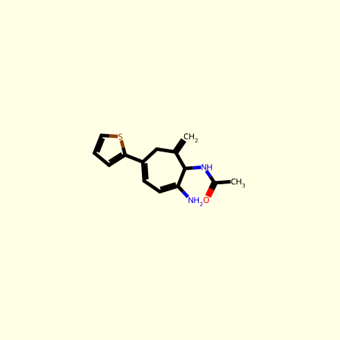 C=C1CC(c2cccs2)=CC=C(N)C1NC(C)=O